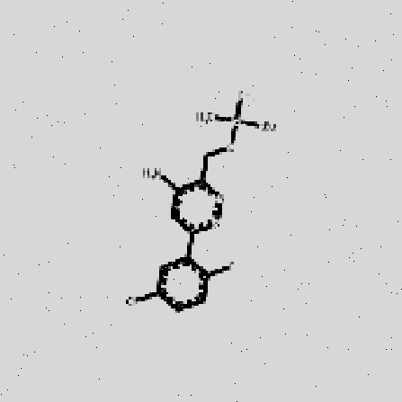 CC(C)(C)[Si](C)(C)OCc1nnc(-c2cc(Cl)ccc2F)cc1N